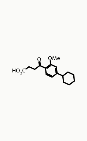 COc1cc(C2CCCCC2)ccc1C(=O)CCC(=O)O